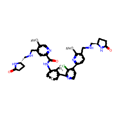 COc1cnc(C(=O)Nc2cccc(-c3nccc(-c4ccc(CNC[C@H]5CCC(=O)N5)c(OC)n4)c3Cl)c2C)cc1CNC[C@@H]1CCC(=O)N1